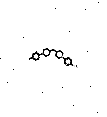 Cc1ccc(N2CCC(CC3CCN(c4ccc(N)cc4)CC3)CC2)cc1